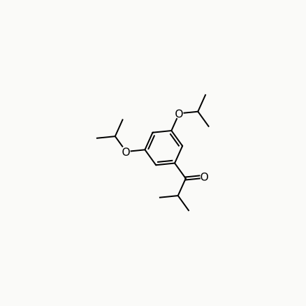 CC(C)Oc1cc(OC(C)C)cc(C(=O)C(C)C)c1